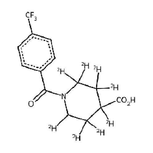 [2H]C1N(C(=O)c2ccc(C(F)(F)F)cc2)C([2H])([2H])C([2H])([2H])C([2H])(C(=O)O)C1([2H])[2H]